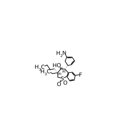 CCCC[C@@]1(CC)CS(=O)(=O)c2ccc(F)cc2[C@@H](C2C=CC=C(N)C2)[C@H]1O